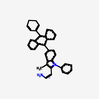 Cc1c(/C=C\N)n(-c2ccccc2)c2ccc(-c3c4ccccc4c(C4=CCCC=C4)c4ccccc34)cc12